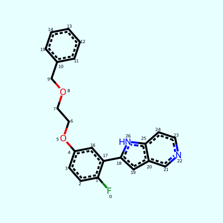 Fc1ccc(OCCOCc2ccccc2)cc1-c1cc2cnccc2[nH]1